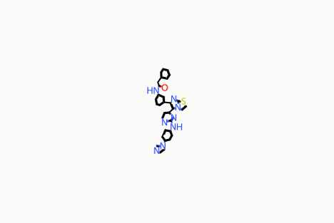 O=C(Cc1ccccc1)Nc1cccc(-c2nc3sccn3c2-c2ccnc(Nc3ccc(-n4ccnc4)cc3)n2)c1